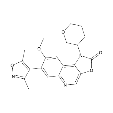 COc1cc2c(cc1-c1c(C)noc1C)ncc1oc(=O)n(C3CCCOC3)c12